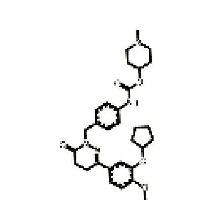 COc1ccc(C2=NN(Cc3ccc(NC(=O)OC4CCN(C)CC4)cc3)C(=O)CC2)cc1OC1CCCC1